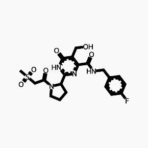 CS(=O)(=O)CC(=O)N1CCCC1c1nc(C(=O)NCc2ccc(F)cc2)c(CO)c(=O)[nH]1